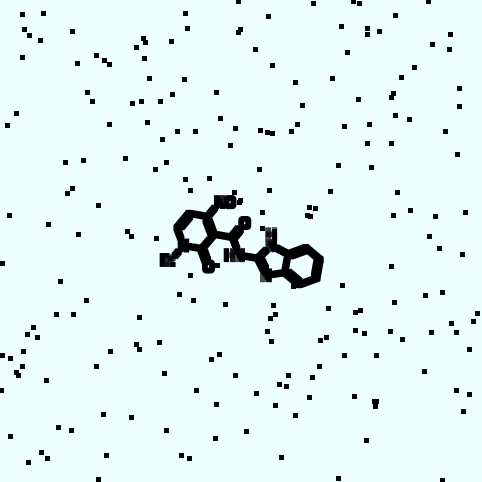 CCn1ccc(N=O)c(C(=O)Nc2nc3ccccc3[nH]2)c1=O